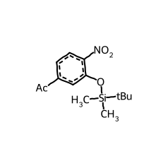 CC(=O)c1ccc([N+](=O)[O-])c(O[Si](C)(C)C(C)(C)C)c1